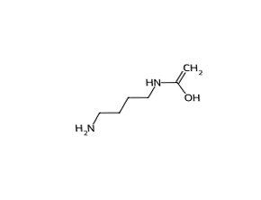 C=C(O)NCCCCN